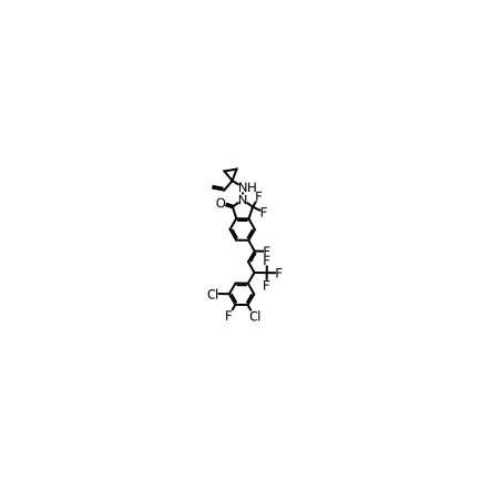 C=CC1(NN2C(=O)c3ccc(/C(F)=C/C(c4cc(Cl)c(F)c(Cl)c4)C(F)(F)F)cc3C2(F)F)CC1